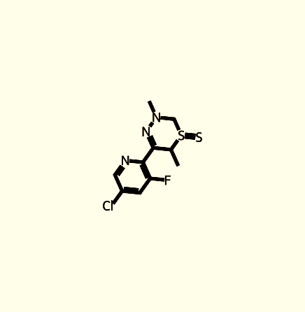 CC1C(c2ncc(Cl)cc2F)=NN(C)CS1=S